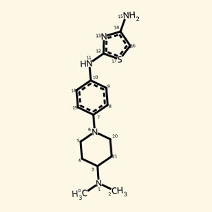 CN(C)C1CCN(c2ccc(Nc3nc(N)[c]s3)cc2)CC1